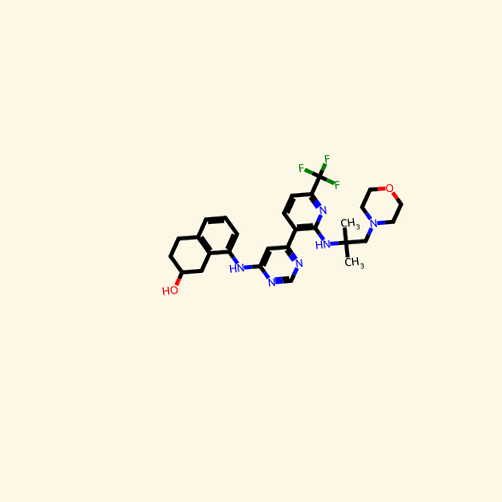 CC(C)(CN1CCOCC1)Nc1nc(C(F)(F)F)ccc1-c1cc(Nc2cccc3c2CC(O)CC3)ncn1